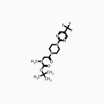 CN(CC(=O)N1CCN(c2ncc(C(F)(F)F)cn2)CC1)C(=O)OC(C)(C)C